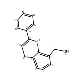 OCc1cccc2c1SC(c1ccccc1)=CC2